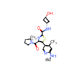 C[C@H]1CCCN1C(=O)c1nc(C(=O)N[C@H]2C[C@H](O)C2)sc1-c1cnc(NC(C)(C)C)cc1C(F)(F)F